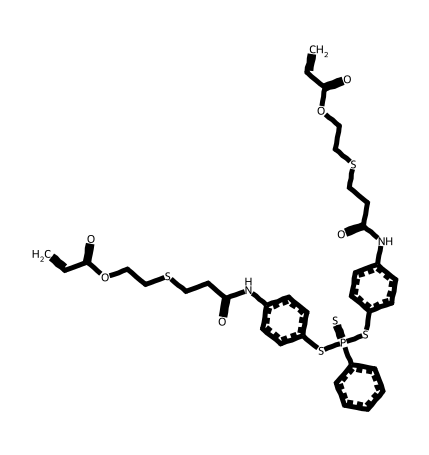 C=CC(=O)OCCSCCC(=O)Nc1ccc(SP(=S)(Sc2ccc(NC(=O)CCSCCOC(=O)C=C)cc2)c2ccccc2)cc1